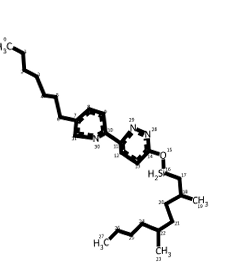 CCCCCCCc1ccc(-c2ccc(O[SiH2]CC(C)CCC(C)CCCC)nn2)nc1